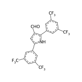 O=Cc1cc(-c2cc(C(F)(F)F)cc(C(F)(F)F)c2)[nH]c1-c1cc(C(F)(F)F)cc(C(F)(F)F)c1